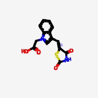 O=C(O)Cn1cc(/C=C2\SC(=O)NC2=O)c2ccccc21